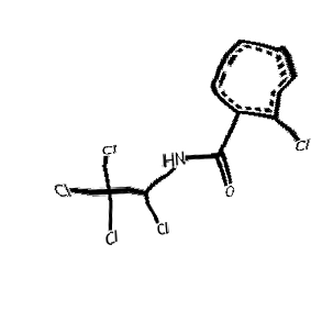 O=C(NC(Cl)C(Cl)(Cl)Cl)c1ccccc1Cl